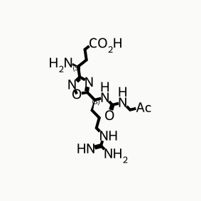 CC(=O)CNC(=O)N[C@@H](CCCNC(=N)N)c1nc([C@@H](N)CCC(=O)O)no1